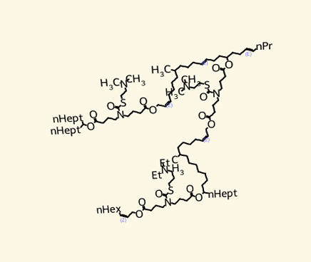 CCC/C=C/CCC(CC/C=C/CCCC(C)CCCC/C=C\COC(=O)CCCN(CCCC(=O)OC(CCCCCCC)CCCCCCC)C(=O)SCCN(C)C)OC(=O)CCCN(CCCC(=O)OC/C=C\CCCCC(C)CCCCCCCC(CCCCCCC)OC(=O)CCCN(CCCC(=O)OC/C=C\CCCCCC)C(=O)SCCCN(CC)CC)C(=O)SCCN(C)C